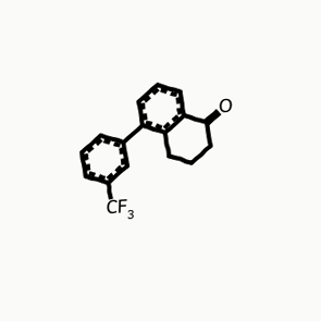 O=C1CCCc2c1cccc2-c1cccc(C(F)(F)F)c1